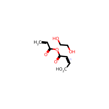 C=CC(=O)OC(=O)/C=C\C(=O)O.OCCO